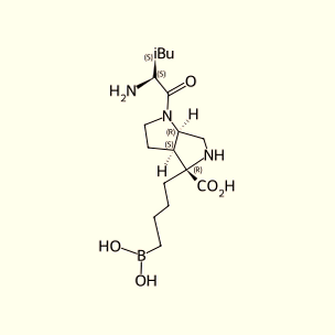 CC[C@H](C)[C@H](N)C(=O)N1CC[C@H]2[C@@H]1CN[C@@]2(CCCCB(O)O)C(=O)O